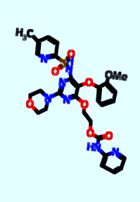 COc1ccccc1Oc1c(NS(=O)(=O)c2ccc(C)cn2)nc(N2CCOCC2)nc1OCCOC(=O)Nc1ccccn1